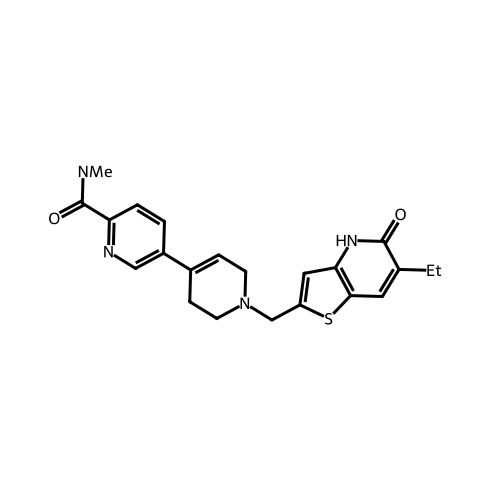 CCc1cc2sc(CN3CC=C(c4ccc(C(=O)NC)nc4)CC3)cc2[nH]c1=O